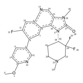 COc1ccc(-c2cc3c(cc2F)ncc2c3n([C@H]3CCN(C)CC3(F)F)c(=O)n2C)cn1